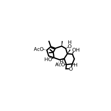 CC(=O)O[C@H]1C[C@@]2(O)[C@@H](C)[C@@H]3[C@]4(OC(C)=O)CO[C@@H]4C[C@H](O)[C@@]3(C)[C@@H](O)[C@H](C)C(=C1C)C2(C)C